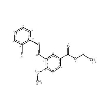 CCOC(=O)c1ccc(OC)c(/C=C/c2ccccc2F)c1